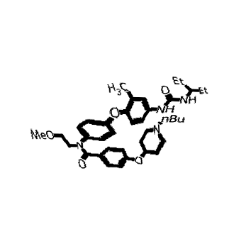 CCCCN1CCC(Oc2ccc(C(=O)N(CCOC)c3ccc(Oc4ccc(NC(=O)NC(CC)CC)cc4C)cc3)cc2)CC1